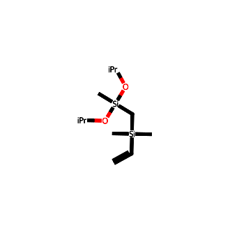 C=C[Si](C)(C)C[Si](C)(OC(C)C)OC(C)C